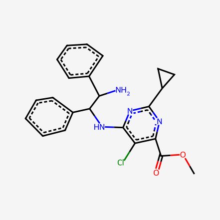 COC(=O)c1nc(C2CC2)nc(NC(c2ccccc2)C(N)c2ccccc2)c1Cl